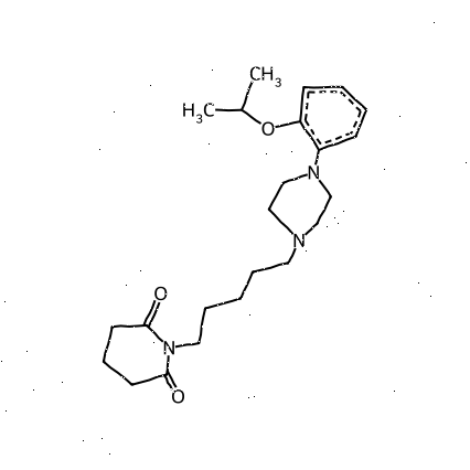 CC(C)Oc1ccccc1N1CCN(CCCCCN2C(=O)CCCC2=O)CC1